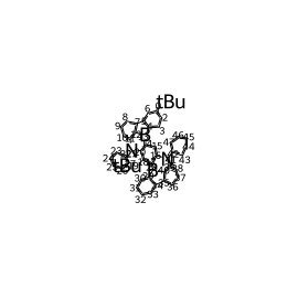 CC(C)(C)c1ccc2c(c1)-c1cccc3c1B2c1cc2c(c(C(C)(C)C)c1N3c1ccccc1)B1c3ccccc3-c3cccc(c31)N2c1ccccc1